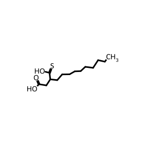 CCCCCCCCCCC(CC(=O)O)C(O)=S